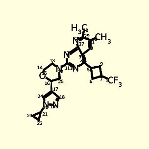 Cc1cc2c(C3CC(C(F)(F)F)C3)nc(N3CCO[C@H](c4cnn(C5CC5)c4)C3)nc2nc1C